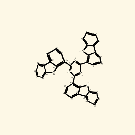 c1ccc2c(c1)oc1c(-c3nc(-c4cccc5c4oc4ccccc45)nc(-c4cccc5c4sc4ccccc45)n3)cccc12